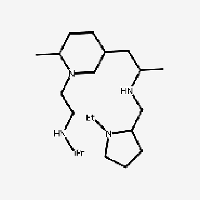 CCN1CCCC1CNC(C)CC1CCC(C)N(CCNC(C)C)C1